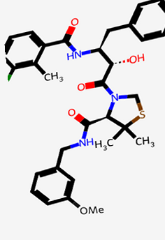 COc1cccc(CNC(=O)[C@H]2N(C(=O)[C@@H](O)[C@H](Cc3ccccc3)NC(=O)c3cccc(F)c3C)CSC2(C)C)c1